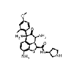 COc1ccc(C2(N)C(=O)C(N)C3c4c2ccc(N)c4SC3C(=O)NC2CCNC2)c(C)c1